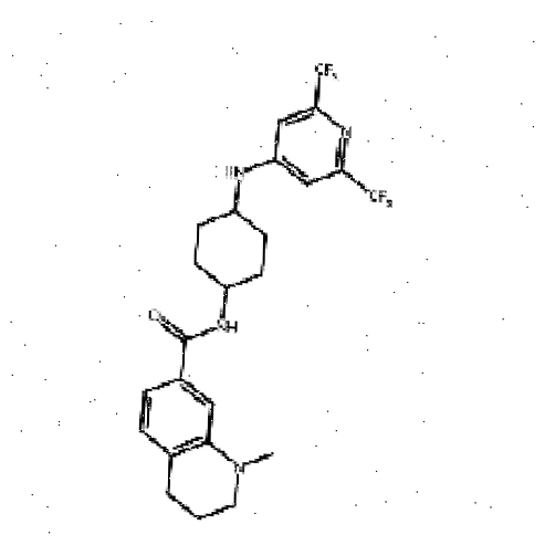 CN1CCCc2ccc(C(=O)NC3CCC(Nc4cc(C(F)(F)F)nc(C(F)(F)F)c4)CC3)cc21